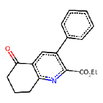 CCOC(=O)c1nc2c(cc1-c1ccccc1)C(=O)CCC2